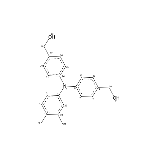 Cc1ccc(N(c2ccc(CO)cc2)c2ccc(CO)cc2)cc1C